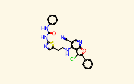 N#Cc1cnc2oc(-c3ccccc3)c(Cl)c2c1NCCc1cnc(NC(=O)Nc2ccccc2)s1